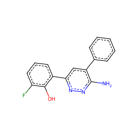 Nc1nnc(-c2cccc(F)c2O)cc1-c1ccccc1